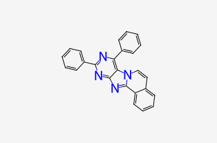 c1ccc(-c2nc(-c3ccccc3)c3c(n2)nc2c4ccccc4ccn23)cc1